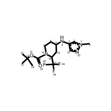 Cn1cc(NC2CCN(C(=O)OC(C)(C)C)C(C(F)(F)F)C2)cn1